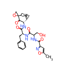 Cc1cc(C(=O)NC(CO)C(=O)N[C@@H](Cc2ccccc2)C(=O)N[C@@H](CC(C)C)C(=O)[C@@]2(C)CO2)no1